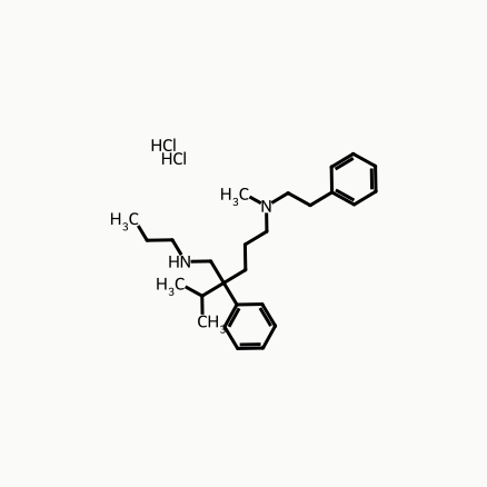 CCCNCC(CCCN(C)CCc1ccccc1)(c1ccccc1)C(C)C.Cl.Cl